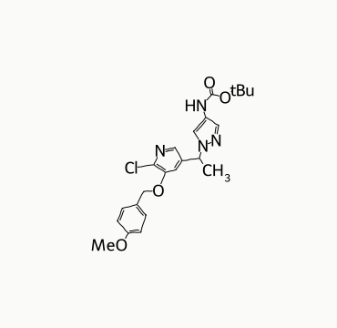 COc1ccc(COc2cc(C(C)n3cc(NC(=O)OC(C)(C)C)cn3)cnc2Cl)cc1